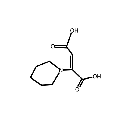 O=C(O)/C=C(/C(=O)O)N1CCCCC1